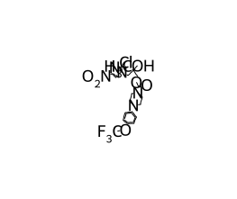 CC(O)(COC(=O)N1CCN(c2ccc(OC(F)(F)F)cc2)CC1)Cn1cc([N+](=O)[O-])nc1Cl